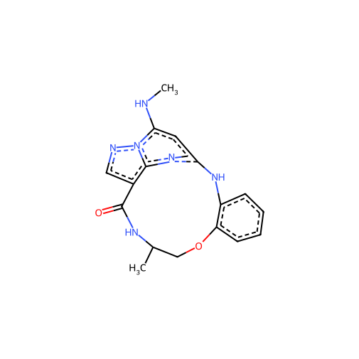 CNc1cc2nc3c(cnn13)C(=O)NC(C)COc1ccccc1N2